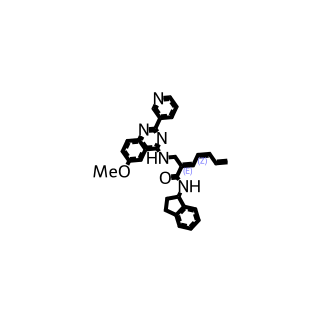 C=C/C=C\C=C(/CNc1nc(-c2cccnc2)nc2ccc(OC)cc12)C(=O)NC1CCc2ccccc21